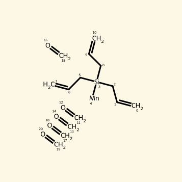 C=CC[Si]([Mn])(CC=C)CC=C.C=O.C=O.C=O.C=O.C=O